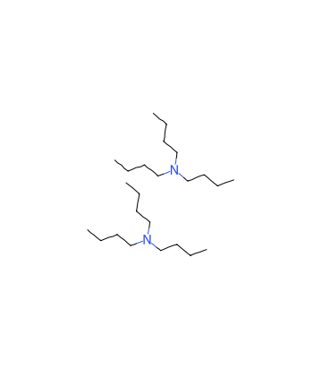 CCCCN(CCCC)CCCC.CCCCN(CCCC)CCCC